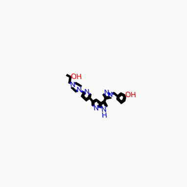 CC(O)CN1CCN(c2ccc(-c3cnc4[nH]cc(-c5cnn(Cc6cccc(O)c6)c5)c4c3)cn2)CC1